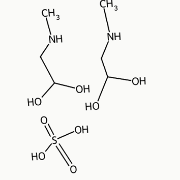 CNCC(O)O.CNCC(O)O.O=S(=O)(O)O